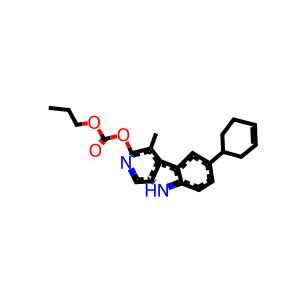 CCCOC(=O)Oc1ncc2[nH]c3ccc(C4CC=CCC4)cc3c2c1C